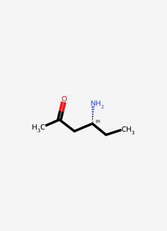 CC[C@@H](N)CC(C)=O